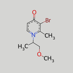 COCC(C)n1ccc(=O)c(Br)c1C